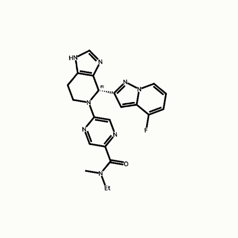 CCN(C)C(=O)c1cnc(N2CCc3[nH]cnc3[C@@H]2c2cc3c(F)cccn3n2)cn1